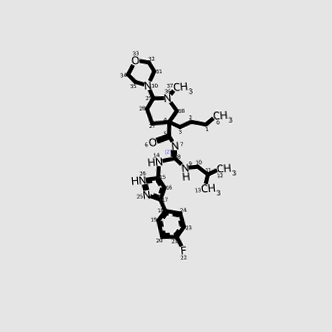 CCCCC1(C(=O)/N=C(/NCC(C)C)Nc2cc(-c3ccc(F)cc3)n[nH]2)CCC(N2CCOCC2)N(C)C1